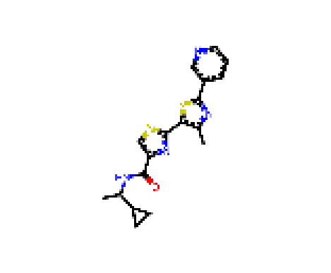 Cc1nc(-c2cccnc2)sc1-c1nc(C(=O)NC(C)C2CC2)cs1